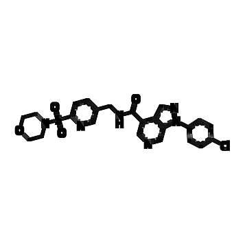 O=C(NCc1ccc(S(=O)(=O)N2CCOCC2)nc1)c1cncc2c1cnn2-c1ccc(Cl)cc1